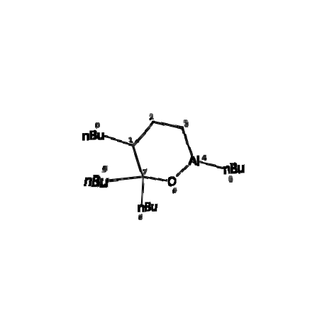 CCCCC1C[CH2][Al]([CH2]CCC)[O]C1(CCCC)CCCC